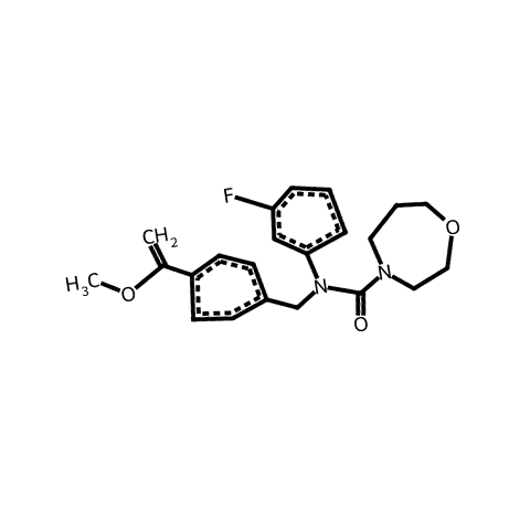 C=C(OC)c1ccc(CN(C(=O)N2CCCOCC2)c2cccc(F)c2)cc1